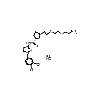 Cl.Cl.NCCOCCOCCN1CC[C@@H](C(=O)NC2=NN(c3ccc(Cl)c(Cl)c3)CC2)C1